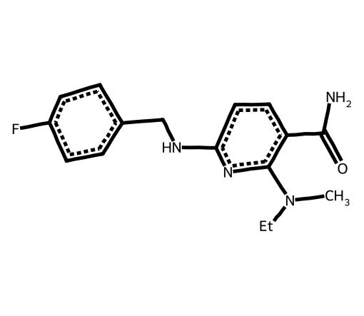 CCN(C)c1nc(NCc2ccc(F)cc2)ccc1C(N)=O